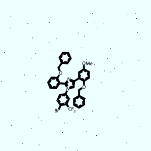 COc1ccc(OCc2ccccc2)c(-c2cn(-c3ccc(Br)c(C(F)(F)F)c3)c(-c3ccccc3OCc3ccccc3)n2)c1